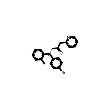 Cc1ccccc1[C@H](CC(=O)Cc1ccccn1)c1ccc(Br)cc1